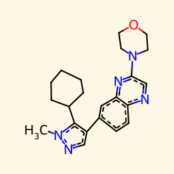 Cn1ncc(-c2ccc3ncc(N4CCOCC4)nc3c2)c1C1CCCCC1